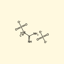 N=C(N)N.O=S(=O)([O-])[O-].O=S(=O)([O-])[O-].[C+4]